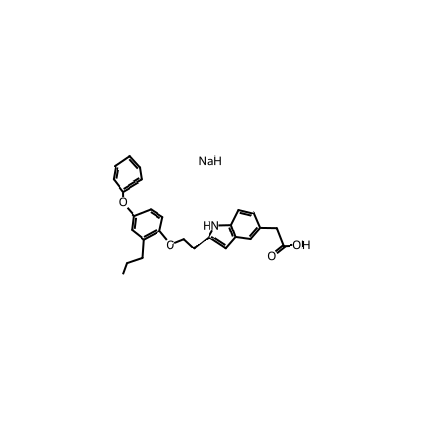 CCCc1cc(Oc2ccccc2)ccc1OCCc1cc2cc(CC(=O)O)ccc2[nH]1.[NaH]